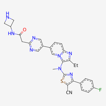 CCc1nc2ccc(-c3cnc(CC(=O)NC4CNC4)nc3)cn2c1N(C)c1nc(-c2ccc(F)cc2)c(C#N)s1